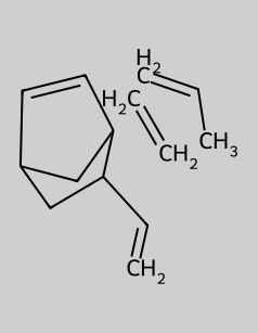 C=C.C=CC.C=CC1CC2C=CC1C2